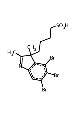 CC1=Nc2cc(Br)c(Br)c(Br)c2C1(C)CCCCS(=O)(=O)O